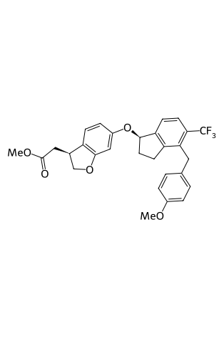 COC(=O)C[C@@H]1COc2cc(O[C@@H]3CCc4c3ccc(C(F)(F)F)c4Cc3ccc(OC)cc3)ccc21